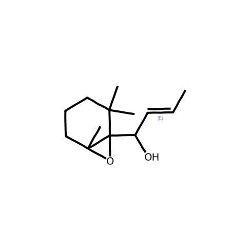 C/C=C/C(O)C12OC1(C)CCCC2(C)C